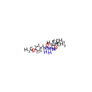 COc1ccc(CNC(=O)Nc2cc(C(C)(C)C)on2)cc1